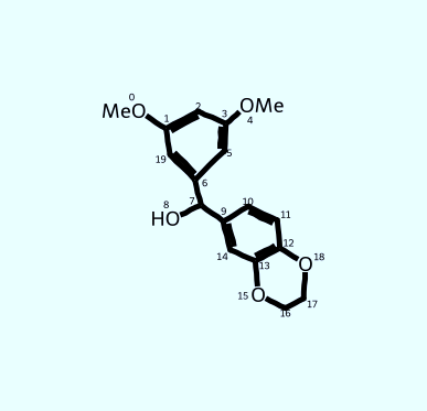 COc1cc(OC)cc(C(O)c2ccc3c(c2)OCCO3)c1